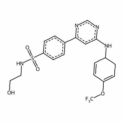 O=S(=O)(NCCO)c1ccc(-c2cc(NC3C=CC(OC(F)(F)F)=CC3)ncn2)cc1